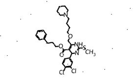 CSC1=NC(c2ccc(Cl)c(Cl)c2)C(C(=O)OCCCc2ccccc2)=C(COCCCCN2CCCCC2)N1